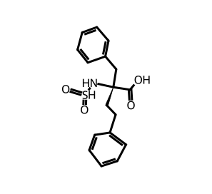 O=C(O)[C@@](CCc1ccccc1)(Cc1ccccc1)N[SH](=O)=O